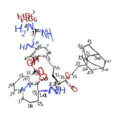 Br.Br.N=C(N)Nc1ccc(CC[C@H](N[C@H]2CCCN3CCC[C@@H](C(=O)O)N3C2=O)C(=O)OCCC23CC4CC(CC(C4)C2)C3)cc1